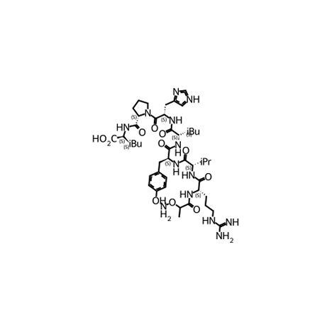 CC[C@H](C)[C@H](NC(=O)[C@@H]1CCCN1C(=O)[C@H](Cc1c[nH]cn1)NC(=O)[C@@H](NC(=O)[C@H](Cc1ccc(O)cc1)NC(=O)[C@@H](NC(=O)[C@H](CCCNC(=N)N)NC(=O)C(C)ON)C(C)C)[C@@H](C)CC)C(=O)O